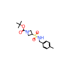 Cc1ccc(CNS(=O)(=O)C2CN(C(=O)OC(C)(C)C)C2)cc1